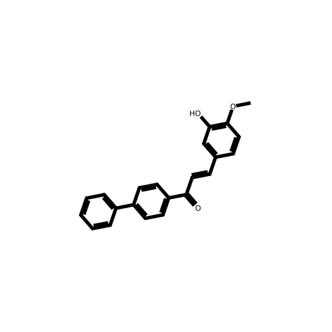 COc1ccc(/C=C/C(=O)c2ccc(-c3ccccc3)cc2)cc1O